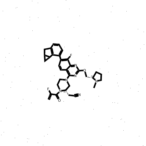 C=C(F)C(=O)N1CCN(c2nc(OC[C@@H]3CCCN3C)nc3c(F)c(-c4cccc5c4C4CC4C5)ccc23)C[C@@H]1CC#N